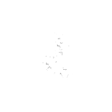 CC(C)C[C@@H](NC(=O)C(O)C1CCCN1C(=O)OCc1ccccc1)C(=O)OC(C)(C)C